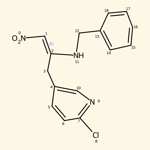 O=[N+]([O-])/C=C(\Cc1ccc(Cl)nc1)NCc1ccccc1